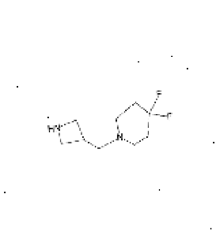 FC1(F)CCN(CC2CNC2)CC1